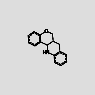 c1ccc2c(c1)CC1COc3ccccc3C1N2